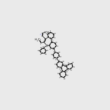 C=CC1=C(/C=C\C)c2ccccc2-c2ccc(-c3ccc(-c4ccc5c6ccccc6c6ccccc6c5c4)cc3)cc2N1c1ccccc1